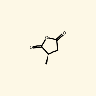 C[C@@H]1CC(=O)OC1=O